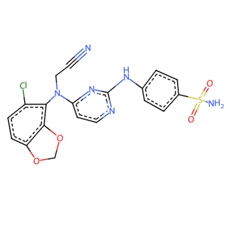 N#CCN(c1ccnc(Nc2ccc(S(N)(=O)=O)cc2)n1)c1c(Cl)ccc2c1OCO2